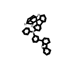 c1ccc(N(c2cccc(-c3cccc4c3sc3ccccc34)c2)c2ccc3c(c2)C2(c4ccccc4-3)[C@H]3CC4C[C@H](C3)C[C@@H]2C4)cc1